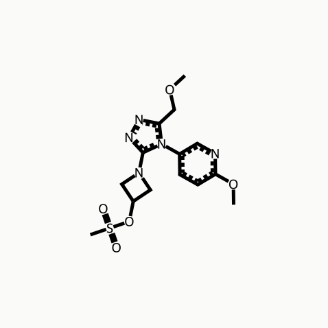 COCc1nnc(N2CC(OS(C)(=O)=O)C2)n1-c1ccc(OC)nc1